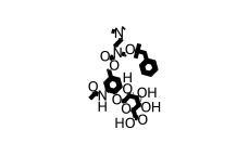 CC(=O)Nc1cc(COC(=O)N(CCN(C)C)COC(C)(C)Cc2ccccc2)ccc1OC1OC(C(=O)O)C(O)[C@H](O)[C@@H]1O